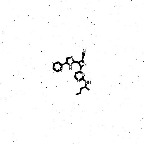 CCCC(C)Nc1nccc(C2N=C(C#N)C2=C2NC(c3ccccc3)=CS2)n1